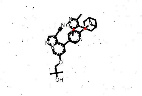 Cc1noc(C)c1CN1C2CC1CN(c1ccc(-c3cc(OCC(C)(C)O)cn4ncc(C#N)c34)cn1)C2